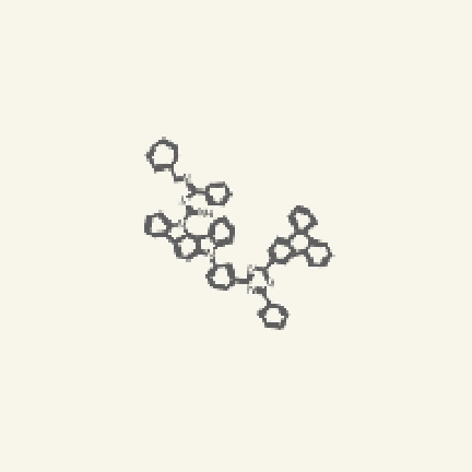 N/C(=N\C(=N/CC1=CC=CC=CC1)c1ccccc1)n1c2ccccc2c2ccc3c(c4ccccc4n3-c3cccc(-c4nc(-c5ccccc5)nc(-c5ccc6c7ccccc7c7ccccc7c6c5)n4)c3)c21